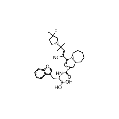 CC(C)(/C=C(\C#N)C(=O)N1CCCCC[C@H]1COC(=O)N[C@@H](Cc1coc2ccccc12)B(O)O)N1CCC(F)(F)C1